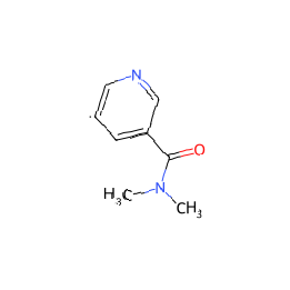 CN(C)C(=O)c1c[c]cnc1